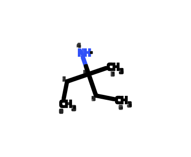 CCC(C)([NH])CC